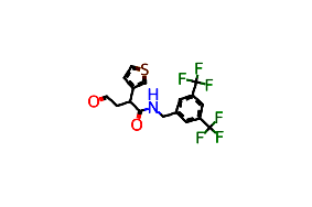 O=CCC(C(=O)NCc1cc(C(F)(F)F)cc(C(F)(F)F)c1)c1ccsc1